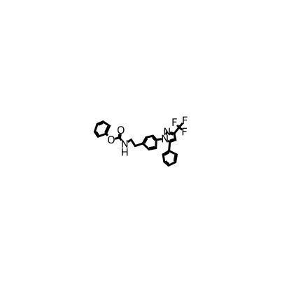 O=C(NCCc1ccc(-n2nc(C(F)(F)F)cc2-c2ccccc2)cc1)Oc1ccccc1